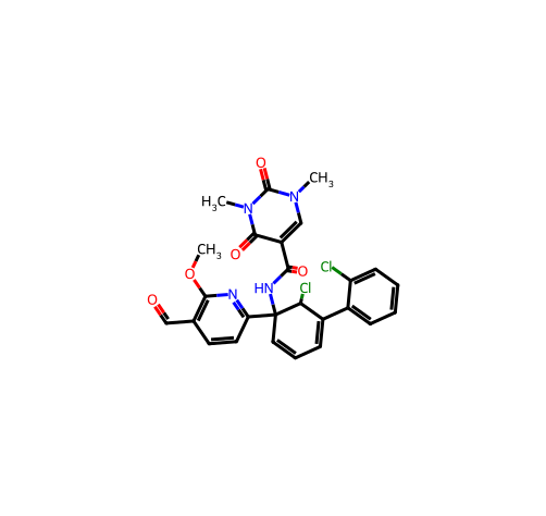 COc1nc(C2(NC(=O)c3cn(C)c(=O)n(C)c3=O)C=CC=C(c3ccccc3Cl)C2Cl)ccc1C=O